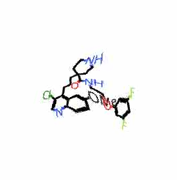 COc1ccc2ncc(Cl)c(CCCC3(C(=O)NCCOc4cc(F)cc(F)c4)CCNCC3)c2c1